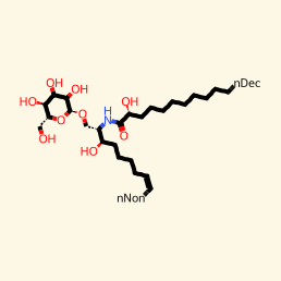 CCCCCCCCC/C=C\CCCC[C@@H](O)[C@H](CO[C@@H]1O[C@H](CO)[C@@H](O)C(O)C1O)NC(=O)[C@H](O)CCCCCCCCCCCCCCCCCCC